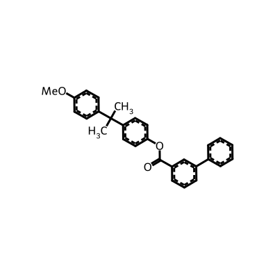 COc1ccc(C(C)(C)c2ccc(OC(=O)c3cccc(-c4ccccc4)c3)cc2)cc1